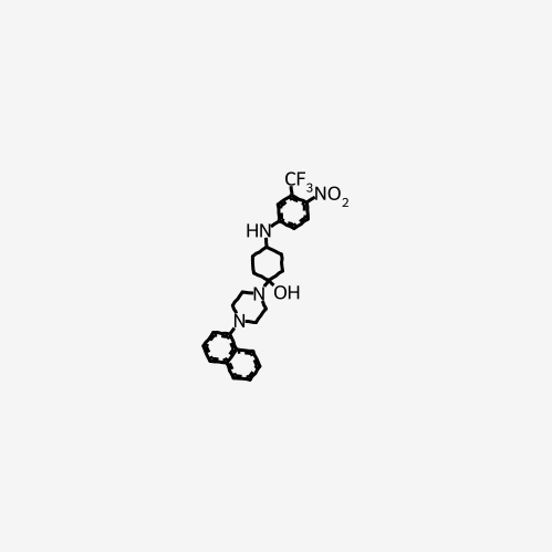 O=[N+]([O-])c1ccc(NC2CCC(O)(N3CCN(c4cccc5ccccc45)CC3)CC2)cc1C(F)(F)F